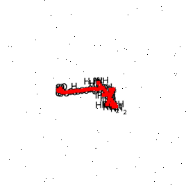 CC[C@H](NC(=O)CNC(=O)[C@H](CCCNC(=N)N)NC(=O)[C@H](Cc1ccccc1)NC(=O)[C@H](CC(C)C)NC(=O)CNC(=O)[C@H](CCCNC(=N)N)NC(=O)CNC(=O)CCOCCOCCOCCOCOCCOCCOCCC(=O)ON1C(=O)CC(S(=O)(=O)O)C1=O)C(N)=O